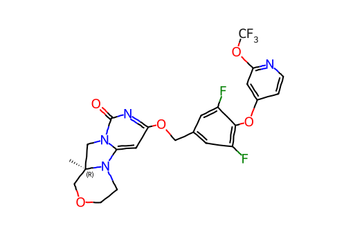 C[C@@]12COCCN1c1cc(OCc3cc(F)c(Oc4ccnc(OC(F)(F)F)c4)c(F)c3)nc(=O)n1C2